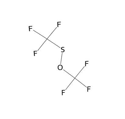 FC(F)(F)OSC(F)(F)F